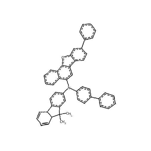 CC1(C)c2cc(N(c3ccc(-c4ccccc4)cc3)c3cc4c5ccc(-c6ccccc6)cc5oc4c4ccccc34)ccc2C2C=CC=CC21